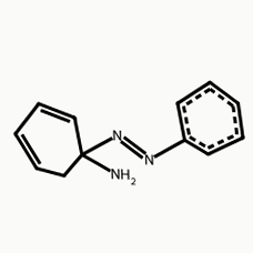 NC1(N=Nc2ccccc2)C=CC=CC1